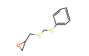 c1ccc(SCSCC2CO2)cc1